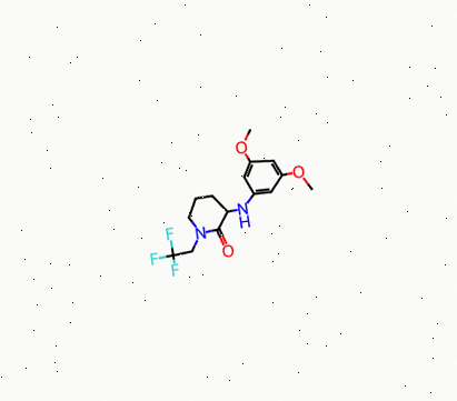 COc1cc(NC2CCCN(CC(F)(F)F)C2=O)cc(OC)c1